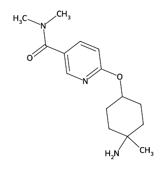 CN(C)C(=O)c1ccc(OC2CCC(C)(N)CC2)nc1